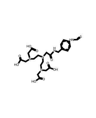 O=C(O)CN(CCN(CCN(CC(=O)O)CC(=O)O)CC(=O)NCc1ccc(NC=S)cc1)CC(=O)O